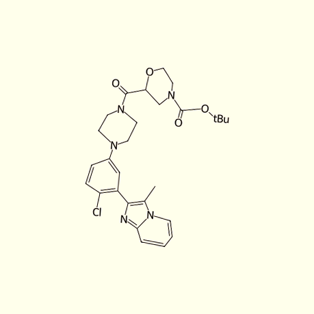 Cc1c(-c2cc(N3CCN(C(=O)C4CN(C(=O)OC(C)(C)C)CCO4)CC3)ccc2Cl)nc2ccccn12